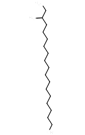 CCC(O)CCCCCCCCCCCCCCCO